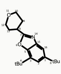 CC(C)(C)c1cc(C(C)(C)C)c2oc(C3CCOCC3)nc2c1